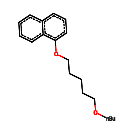 CCCCOCCCCCOc1cccc2ccccc12